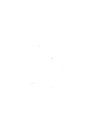 COc1ccc([C@@H](C#N)NC(=O)N(C(=O)O)C2CCCC2)cc1OC